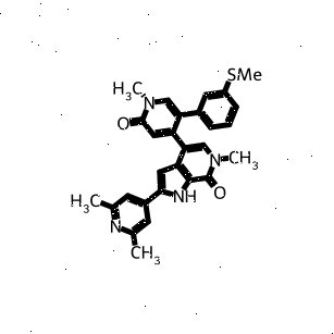 CSc1cccc(-c2cn(C)c(=O)cc2-c2cn(C)c(=O)c3[nH]c(-c4cc(C)nc(C)c4)cc23)c1